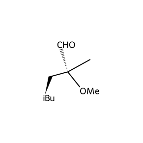 CC[C@H](C)C[C@](C)(C=O)OC